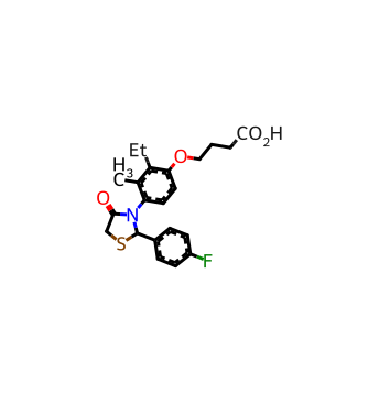 CCc1c(OCCCC(=O)O)ccc(N2C(=O)CSC2c2ccc(F)cc2)c1C